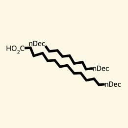 CCCCCCCCCCCCCCCCCCCCCCC(=O)O.CCCCCCCCCCCCCCCCCCCCCCCCCCC